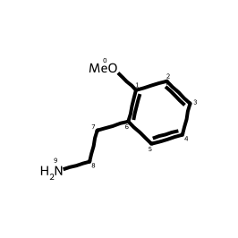 COc1[c]cccc1CCN